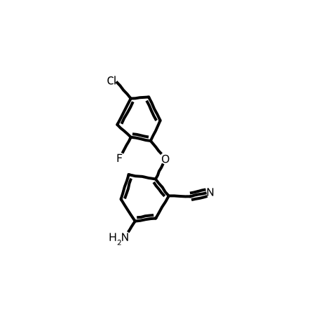 N#Cc1cc(N)ccc1Oc1ccc(Cl)cc1F